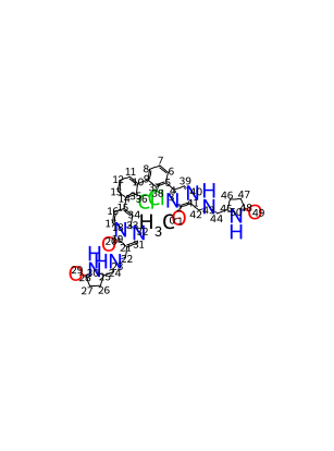 COc1nc(-c2cccc(-c3cccc(-c4ccn5c(=O)c(CNCC6CCC(=O)N6)cnc5c4)c3Cl)c2Cl)cnc1CNCC1CCC(=O)N1